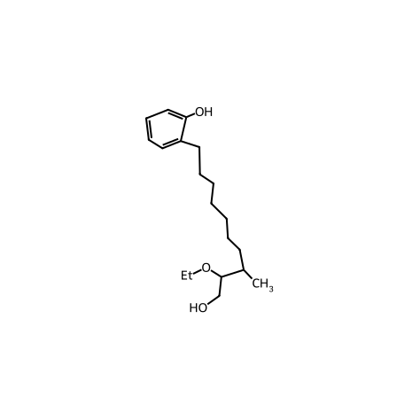 CCOC(CO)C(C)CCCCCCCc1ccccc1O